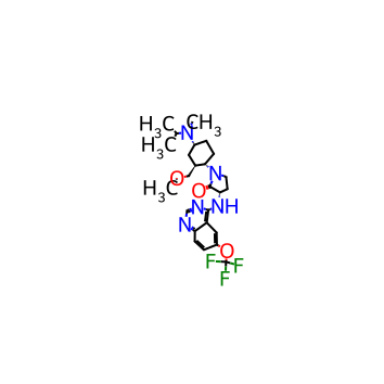 COC[C@H]1C[C@H](N(C)C(C)C)CC[C@@H]1N1CC[C@H](Nc2ncnc3ccc(OC(F)(F)F)cc23)C1=O